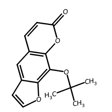 CC(C)(C)Oc1c2occc2cc2ccc(=O)oc12